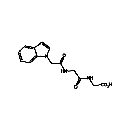 O=C(O)CNC(=O)CNC(=O)Cn1ccc2ccccc21